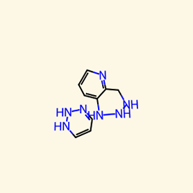 C1=CNNN=C1.c1cnc2c(c1)NNNC2